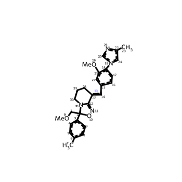 COCC1(c2ccc(C)cc2)ON=C2/C(=C/c3ccc(-n4cnc(C)c4)c(OC)c3)CCCN21